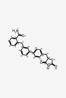 NC(=O)c1ccccc1Cc1cccc(-c2ccc(CC3SC(=O)NC3=O)cc2)c1